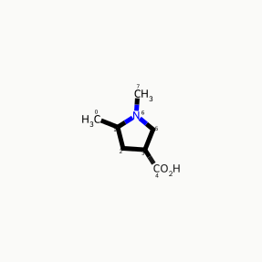 CC1CC(C(=O)O)CN1C